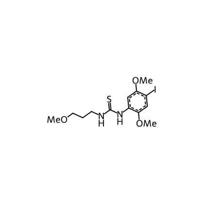 COCCCNC(=S)Nc1cc(OC)c(I)cc1OC